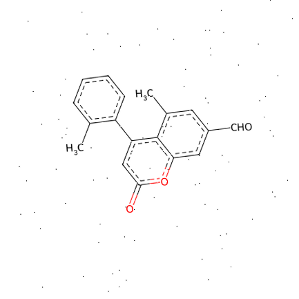 Cc1ccccc1-c1cc(=O)oc2cc(C=O)cc(C)c12